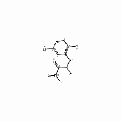 CC(Oc1cc(Cl)ccc1Cl)C(=O)N(C)C